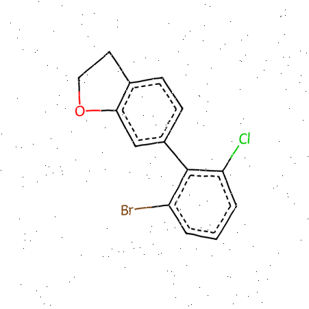 Clc1cccc(Br)c1-c1ccc2c(c1)OCC2